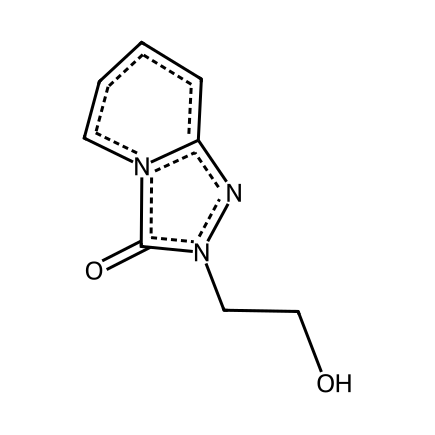 O=c1n(CCO)nc2ccccn12